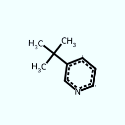 CC(C)(C)c1[c]c[c]nc1